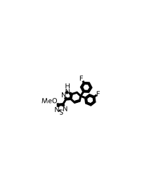 COc1nsnc1-c1n[nH]c2c1C=CC(c1cccc(F)c1)(c1cccc(F)c1)C2